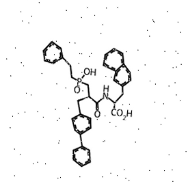 O=C(N[C@@H](Cc1ccc2ccccc2c1)C(=O)O)[C@@H](Cc1ccc(-c2ccccc2)cc1)CP(=O)(O)CCc1ccccc1